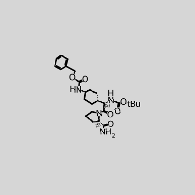 CC(C)(C)OC(=O)N[C@H](C(=O)N1CCC[C@H]1C(N)=O)[C@H]1CC[C@H](NC(=O)OCc2ccccc2)CC1